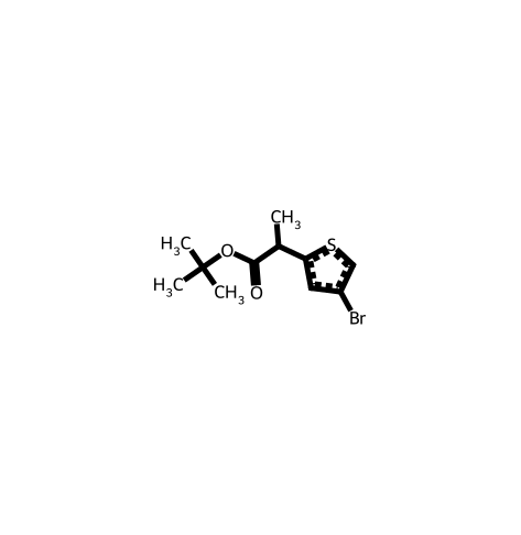 CC(C(=O)OC(C)(C)C)c1cc(Br)cs1